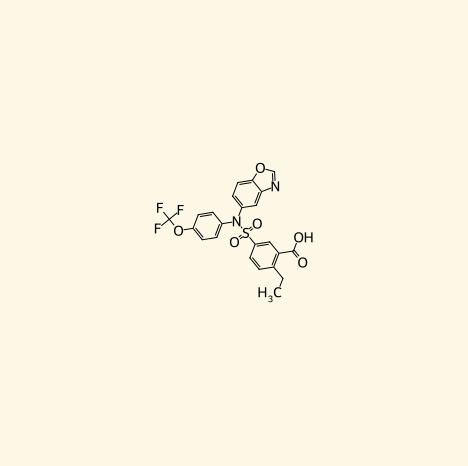 CCc1ccc(S(=O)(=O)N(c2ccc(OC(F)(F)F)cc2)c2ccc3ocnc3c2)cc1C(=O)O